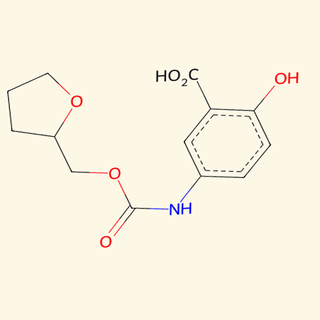 O=C(Nc1ccc(O)c(C(=O)O)c1)OCC1CCCO1